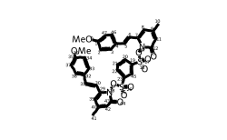 COc1ccc(C=Cc2cc(C)cc(=O)n2OS(=O)(=O)c2cccc(S(=O)(=O)On3c(C=Cc4ccc(OC)cc4)cc(C)cc3=O)c2)cc1